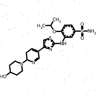 CC(C)Oc1ccc(S(N)(=O)=O)cc1Nc1nc(C2=CCC(N3CCC(O)CC3)N=C2)cs1